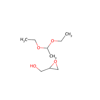 CCOC(C)OCC.OCC1CO1